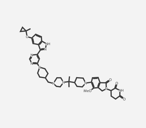 COc1c(N2CCC(C(C)(C)N3CCN(CC4CCN(c5cc(-c6n[nH]c7ccc(OC8(C)CC8)cc67)ncn5)CC4)CC3)CC2)ccc2c1CN(C1CCC(=O)NC1=O)C2=O